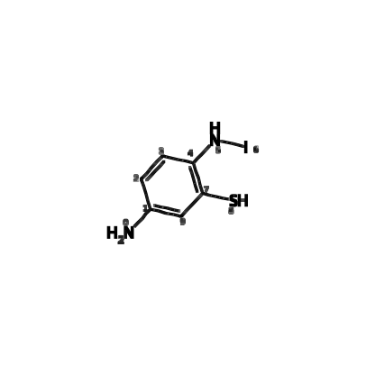 Nc1ccc(NI)c(S)c1